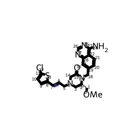 COC[C@@H]1CN(C/C=C/c2ccc(Cl)s2)CC(=O)N1Cc1ccc2c(N)ncnc2c1